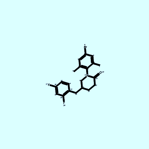 Cc1cc(Br)cc(C)c1N1CC(Cc2ccc(F)cc2F)CCC1=O